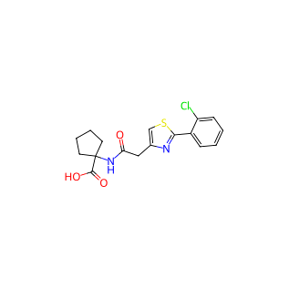 O=C(Cc1csc(-c2ccccc2Cl)n1)NC1(C(=O)O)CCCC1